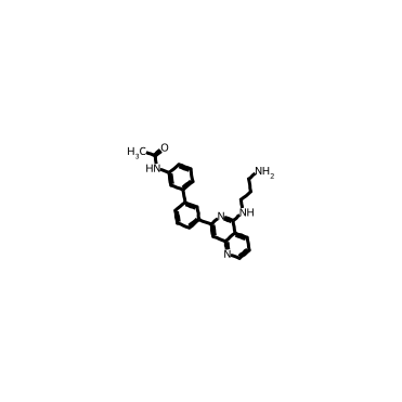 CC(=O)Nc1cccc(-c2cccc(-c3cc4ncccc4c(NCCCN)n3)c2)c1